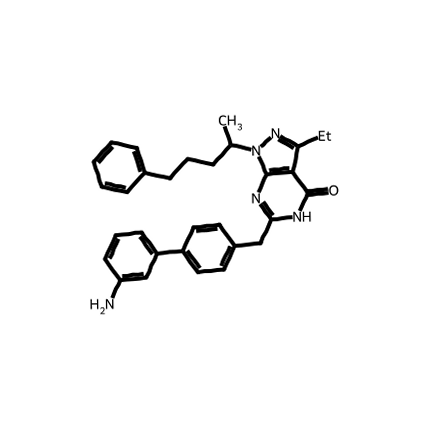 CCc1nn(C(C)CCCc2ccccc2)c2nc(Cc3ccc(-c4cccc(N)c4)cc3)[nH]c(=O)c12